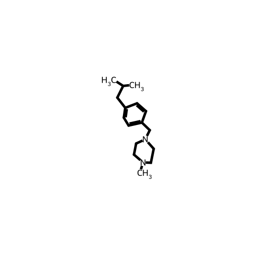 CC(C)Cc1ccc(CN2CCN(C)CC2)cc1